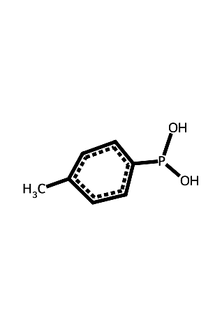 Cc1ccc(P(O)O)cc1